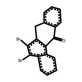 O=C1c2ccccc2Cc2c(Br)c(Br)c3ccccc3c21